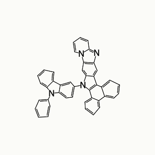 c1ccc(-n2c3ccccc3c3cc(-n4c5cc6c(cc5c5c7ccccc7c7ccccc7c54)nc4ccccn46)ccc32)cc1